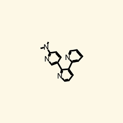 CN(C)c1ccc(-c2ncccc2-c2ccccn2)cn1